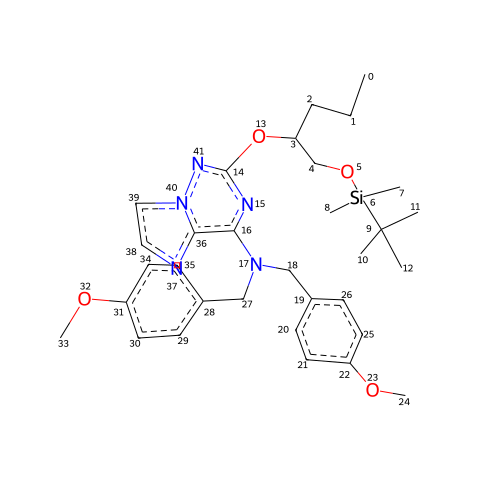 CCCC(CO[Si](C)(C)C(C)(C)C)Oc1nc(N(Cc2ccc(OC)cc2)Cc2ccc(OC)cc2)c2nccn2n1